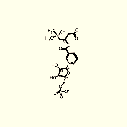 C[N+](C)(C)C[C@@H](CC(=O)O)OC(=O)c1ccc[n+]([C@@H]2O[C@H](COP(=O)([O-])[O-])[C@@H](O)[C@H]2O)c1